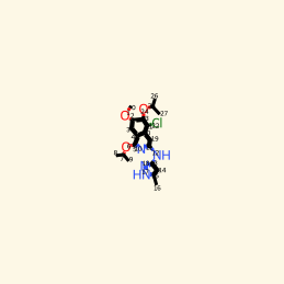 COc1cc2c(OC(C)C)nc(Nc3cc(C)[nH]n3)cc2c(Cl)c1OC(C)C